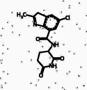 CC1=Nc2c(cc(Cl)cc2C(=O)NC2CCC(=O)NC2=O)C1